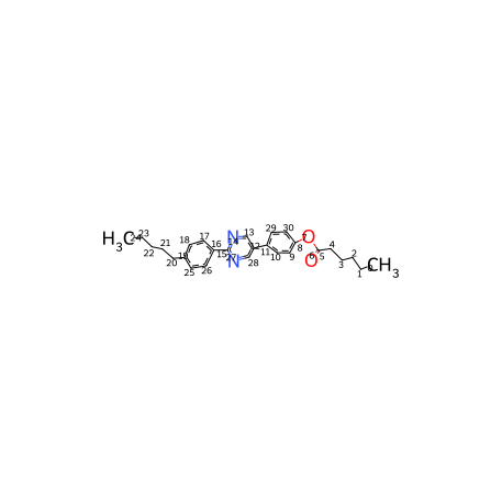 CCCCCC(=O)Oc1ccc(-c2cnc(-c3ccc(CCCCC)cc3)nc2)cc1